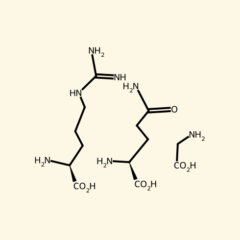 N=C(N)NCCC[C@H](N)C(=O)O.NC(=O)CC[C@H](N)C(=O)O.NCC(=O)O